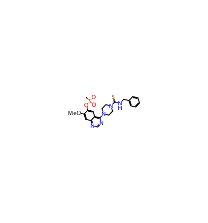 COc1cc2ncnc(N3CCN(C(=S)NCc4ccccc4)CC3)c2cc1OS(C)(=O)=O